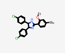 CCOc1cc(C(C)(C)C)ccc1C1=NC(c2ccc(Cl)cc2)C(c2ccc(Cl)cc2)N1